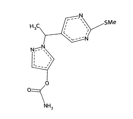 CSc1ncc(C(C)n2cc(OC(N)=O)cn2)cn1